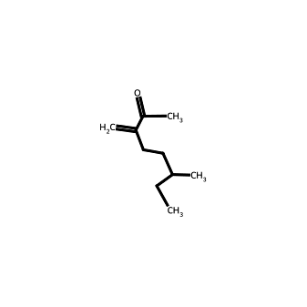 C=C(CCC(C)CC)C(C)=O